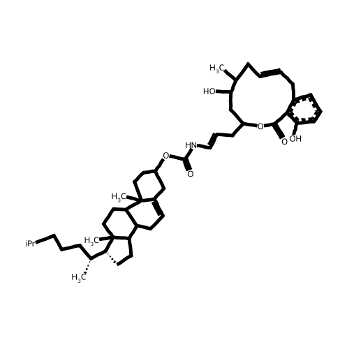 CC(C)CCC[C@@H](C)[C@H]1CCC2C3CC=C4CC(OC(=O)N/C=C/CC5CC(O)C(C)C/C=C/Cc6cccc(O)c6C(=O)O5)CCC4(C)C3CCC21C